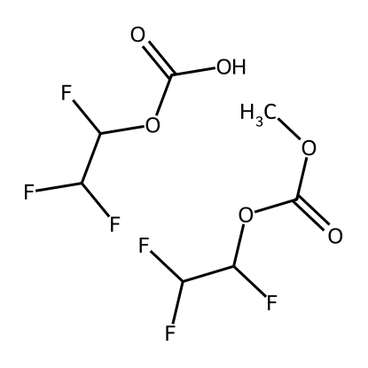 COC(=O)OC(F)C(F)F.O=C(O)OC(F)C(F)F